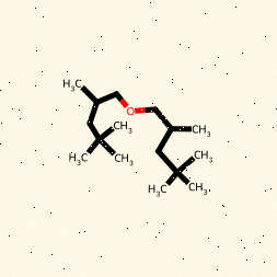 CC(COCC(C)CC(C)(C)C)CC(C)(C)C